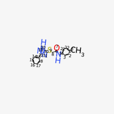 Cc1ccc(NC(=O)CSc2nc(-c3ccccc3)n[nH]2)cc1